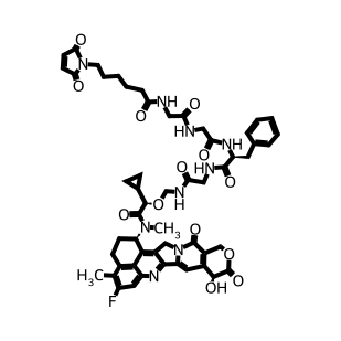 Cc1c(F)cc2nc3c(c4c2c1CC[C@@H]4N(C)C(=O)[C@@H](OCNC(=O)CNC(=O)[C@H](Cc1ccccc1)NC(=O)CNC(=O)CNC(=O)CCCCCN1C(=O)C=CC1=O)C1CC1)Cn1c-3cc2c(c1=O)COC(=O)[C@H]2O